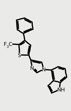 FC(F)(F)c1sc(-c2cn(-c3cccc4[nH]ccc34)cn2)cc1-c1ccccc1